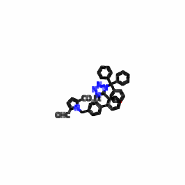 CCOC(=O)c1ccc(C=O)n1Cc1ccc(-c2ccccc2-c2nnnn2C(c2ccccc2)(c2ccccc2)c2ccccc2)cc1